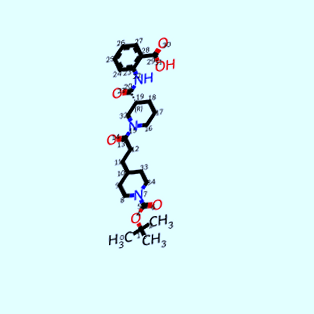 CC(C)(C)OC(=O)N1CCC(CCC(=O)N2CCC[C@@H](C(=O)Nc3ccccc3C(=O)O)C2)CC1